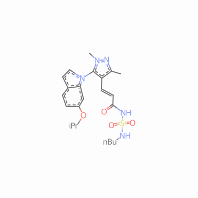 CCCCNS(=O)(=O)NC(=O)C=Cc1c(C)nn(C)c1-n1ccc2ccc(OC(C)C)cc21